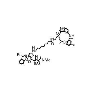 CC[C@@H](NC(=O)[C@@H]1C[C@H](NCCCCCCCCC(=O)NCCN2C[C@H](C)Oc3ccc(F)cc3C(C)Nc3ccn4ncc(c4n3)C2=O)CN1C(=O)C(NC(=O)[C@H](C)NC)C(C)(C)C)c1ccccc1